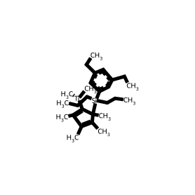 CCC[Si](CCC)(c1cc(CC)cc(CC)c1)C1(C)C(C)=C(C)C(C)=[C]1[Ti]([CH3])[CH3]